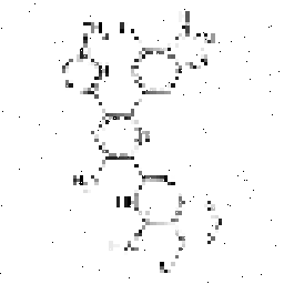 C[C@@H](NC(=O)c1nc(-c2cc(Cl)c3[nH]ncc3c2)c(-c2ccn(C)n2)nc1N)c1ncccc1Cl